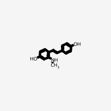 CNc1cc(O)ccc1/C=C/c1ccc(O)cc1